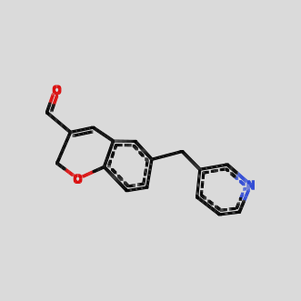 O=CC1=Cc2cc(Cc3cccnc3)ccc2OC1